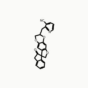 N#Cc1cccnc1CC1COc2cc3c(cc2O1)OCC31C(=O)Cc2ccccc21